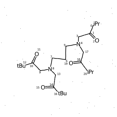 CC(C)C(=O)CN(CCCN(CC(=O)C(C)(C)C)CC(=O)C(C)(C)C)CC(=O)C(C)C